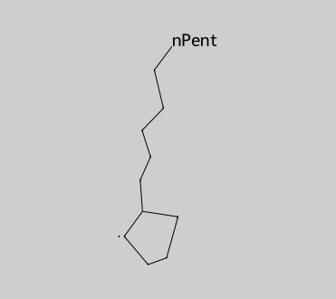 CCCCCCCCCCC1[CH]CCC1